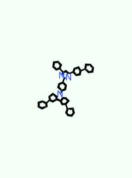 c1ccc(-c2ccc(-c3cc(-c4ccccc4)nc(-c4ccc(-n5c6ccc(-c7ccccc7)cc6c6cc(-c7ccccc7)ccc65)cc4)n3)cc2)cc1